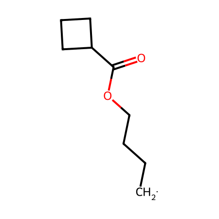 [CH2]CCCOC(=O)C1CCC1